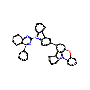 c1ccc(-c2nc(-n3c4ccccc4c4cc(-c5ccc6c7c5c5ccccc5n7-c5ccccc5O6)ccc43)nc3ccccc23)cc1